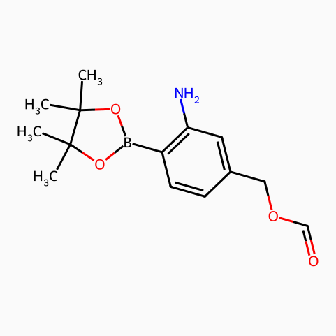 CC1(C)OB(c2ccc(COC=O)cc2N)OC1(C)C